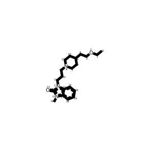 CCOCCC1CCN(CCCn2c(=O)n(C)c3ccccc32)CC1